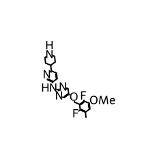 COc1cc(C)c(F)c(COc2cnc(Nc3ccc(C4CCNCC4)nc3)nc2)c1F